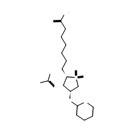 COC(=O)CCCCCC[C@@H]1[C@@H](C=C(Br)Br)[C@H](OC2CCCCO2)CS1(=O)=O